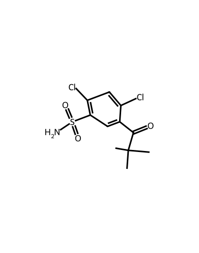 CC(C)(C)C(=O)c1cc(S(N)(=O)=O)c(Cl)cc1Cl